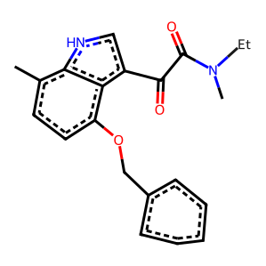 CCN(C)C(=O)C(=O)c1c[nH]c2c(C)ccc(OCc3ccccc3)c12